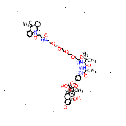 C/C1=C/c2ccccc2N(C(=O)CCC(=O)NCCOCCOCCOCCOCCC(=O)N[C@H](C(=O)N[C@@H](C)C(=O)Nc2ccc([C@H]3O[C@H]4C[C@@H]5[C@H]6CCC7=CC(=O)C=CC7[C@@H]6[C@H](O)C[C@@]5(C)[C@@]4(C(=O)CO)O3)cc2)C(C)C)Cc2ccccc21